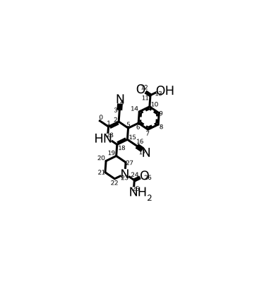 CC1=C(C#N)C(c2cccc(C(=O)O)c2)C(C#N)=C(C2CCCN(C(N)=O)C2)N1